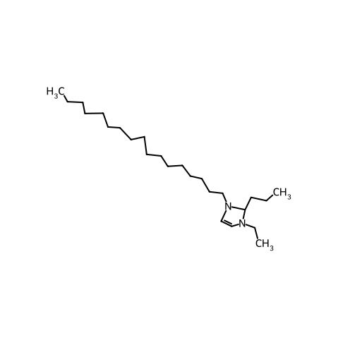 CCCCCCCCCCCCCCCCCN1C=CN(CC)C1CCC